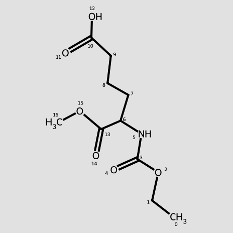 CCOC(=O)NC(CCCC(=O)O)C(=O)OC